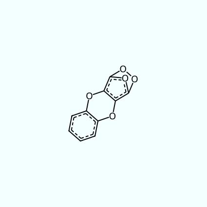 c1ccc2c(c1)Oc1c3oc(c1O2)OO3